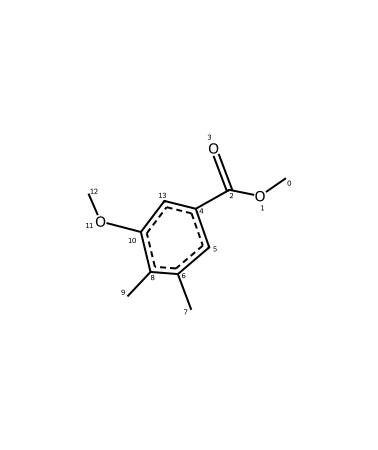 COC(=O)c1cc(C)c(C)c(OC)c1